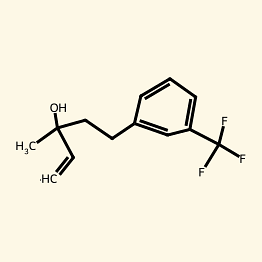 [CH]=CC(C)(O)CCc1cccc(C(F)(F)F)c1